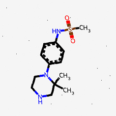 CC1(C)CNCCN1c1ccc(NS(C)(=O)=O)cc1